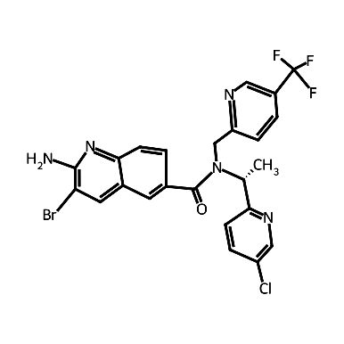 C[C@H](c1ccc(Cl)cn1)N(Cc1ccc(C(F)(F)F)cn1)C(=O)c1ccc2nc(N)c(Br)cc2c1